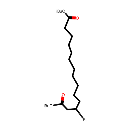 CCC(CCCCCCCCCCC(=O)OCC(C)C)CC(=O)OCC(C)C